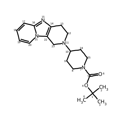 CC(C)(C)OC(=O)N1CCC(N2CCc3nc4ccccn4c3C2)CC1